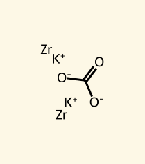 O=C([O-])[O-].[K+].[K+].[Zr].[Zr]